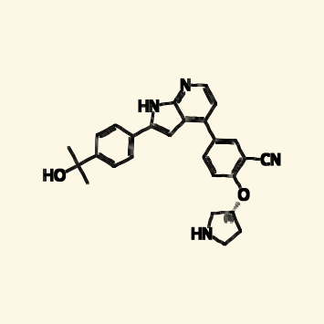 CC(C)(O)c1ccc(-c2cc3c(-c4ccc(O[C@@H]5CCNC5)c(C#N)c4)ccnc3[nH]2)cc1